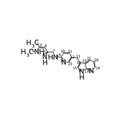 CN/C(C)=C\C(=N)CNc1ccc(Cc2c[nH]c3ncccc23)cn1